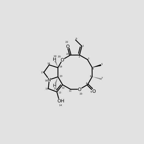 C/C=C1/C[C@@H](C)[C@H](C)C(=O)OCC2=C(O)CN3CC[C@@H](OC1=O)[C@@H]23